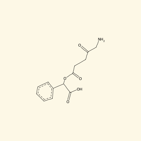 NCC(=O)CCC(=O)OC(C(=O)O)c1ccccc1